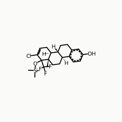 C[C@]12CC[C@@H]3c4ccc(O)cc4CC[C@H]3[C@@H]1CC=C(Cl)C2(O[Si](C)(C)C)C(F)(F)F